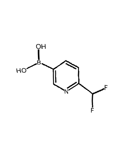 OB(O)c1ccc(C(F)F)nc1